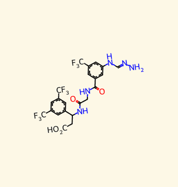 NN=CNc1cc(C(=O)NCC(=O)NC(CC(=O)O)c2cc(C(F)(F)F)cc(C(F)(F)F)c2)cc(C(F)(F)F)c1